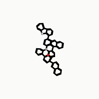 c1ccc(N(c2ccc(-c3cccc4c3oc3ccccc34)cc2)c2ccccc2-c2cccc3ccccc23)c(-c2ccc(-c3ccc4ccccc4c3)cc2)c1